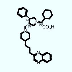 O=C(O)[C@@H](C1CCCCC1)N1C[C@H](CN2CCC(CCCc3cnc4ccccc4n3)CC2)[C@@H](c2ccccc2)C1